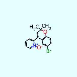 CC1(C)C=C(c2cccc[n+]2[O-])c2cc(Br)ccc2O1